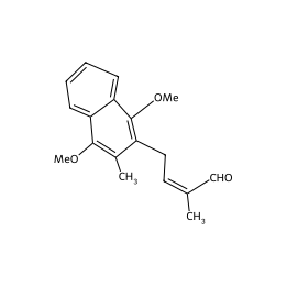 COc1c(C)c(C/C=C(/C)C=O)c(OC)c2ccccc12